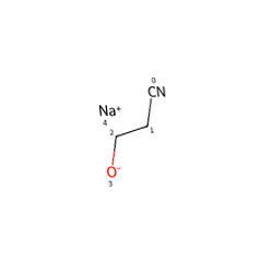 N#CCC[O-].[Na+]